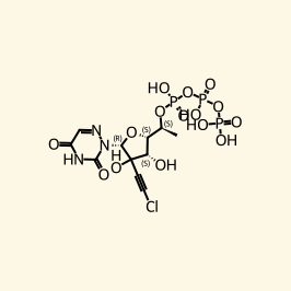 C[C@H](OP(=O)(O)OP(=O)(O)OP(=O)(O)O)[C@H]1O[C@@H](n2ncc(=O)[nH]c2=O)C(O)(C#CCl)[C@H]1O